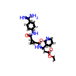 CCOC(=O)C[C@@H](NC(=O)C1CC1C(=O)Nc1ccc(C(=N)N)cc1)c1cccnc1